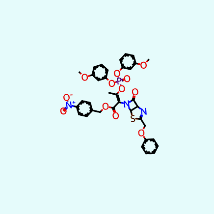 COc1cccc(OP(=O)(OC(C)=C(C(=O)OCc2ccc([N+](=O)[O-])cc2)N2C(=O)C3N=C(COc4ccccc4)SC32)Oc2cccc(OC)c2)c1